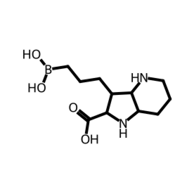 O=C(O)C1NC2CCCNC2C1CCCB(O)O